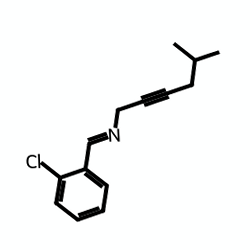 CC(C)CC#CCN=Cc1ccccc1Cl